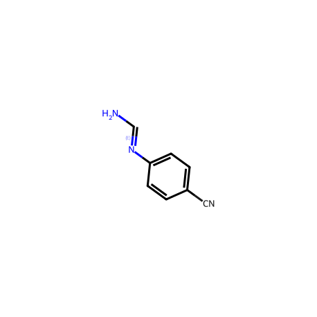 N#Cc1ccc(/N=C/N)cc1